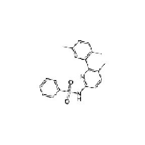 Cc1ccc(C)c(-c2nc(NS(=O)(=O)c3ccccc3)ccc2C)c1